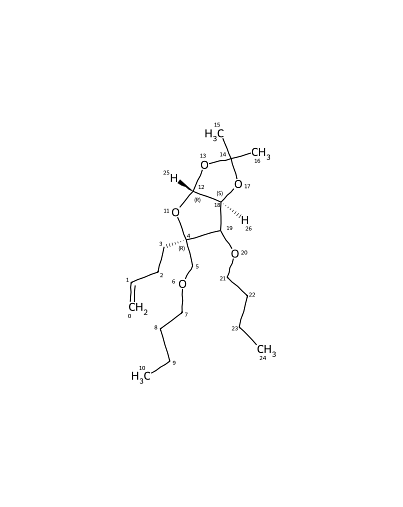 C=CCC[C@]1(COCCCC)O[C@@H]2OC(C)(C)O[C@H]2C1OCCCC